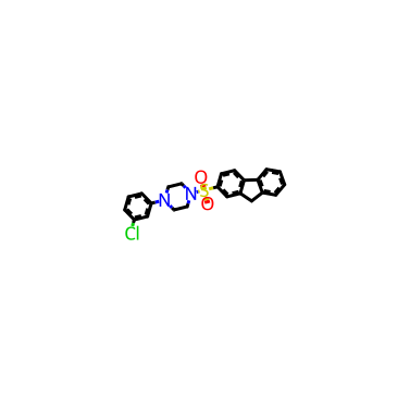 O=S(=O)(c1ccc2c(c1)Cc1ccccc1-2)N1CCN(c2cccc(Cl)c2)CC1